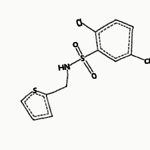 O=S(=O)(NCc1cccs1)c1cc(Cl)ccc1Cl